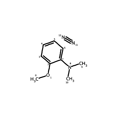 COc1ccccc1N(C)C.N#N